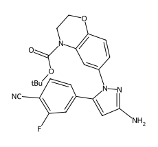 CC(C)(C)OC(=O)N1CCOc2ccc(-n3nc(N)cc3-c3ccc(C#N)c(F)c3)cc21